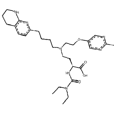 CCN(CC)C(=O)N[C@@H](CCN(CCCCc1ccc2c(n1)NCCC2)CCOc1cnc(C)nc1)C(=O)O